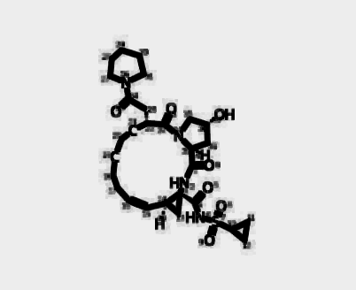 O=C1N[C@]2(C(=O)NS(=O)(=O)C3CC3)C[C@H]2/C=C\CCCCC[C@H](CC(=O)N2CCCCC2)C(=O)N2C[C@H](O)C[C@@H]12